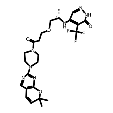 C[C@@H](COCCC(=O)N1CCN(c2ncc3c(n2)OC(C)(C)C=C3)CC1)Nc1cn[nH]c(=O)c1C(F)(F)F